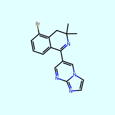 CC1(C)Cc2c(Br)cccc2C(c2cnc3nccn3c2)=N1